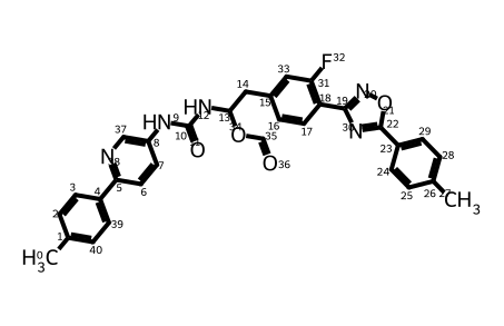 Cc1ccc(-c2ccc(NC(=O)NC(Cc3ccc(-c4noc(-c5ccc(C)cc5)n4)c(F)c3)OC=O)cn2)cc1